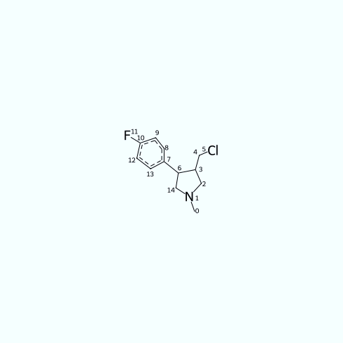 CN1CC(CCl)C(c2ccc(F)cc2)C1